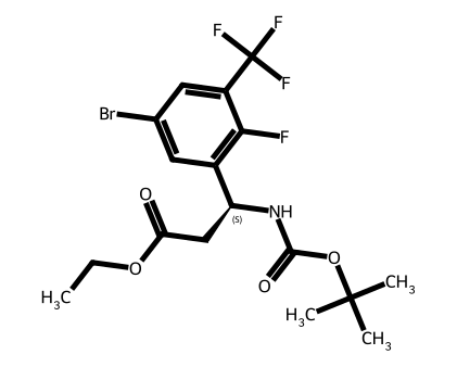 CCOC(=O)C[C@H](NC(=O)OC(C)(C)C)c1cc(Br)cc(C(F)(F)F)c1F